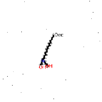 CCCCCCCCCCCCCCCCCCCCCCCCC=CN(CCCO)CCCO